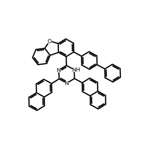 c1ccc(-c2ccc(-c3ccc4oc5ccccc5c4c3C3=NC(c4ccc5ccccc5c4)=NC(c4ccc5ccccc5c4)N3)cc2)cc1